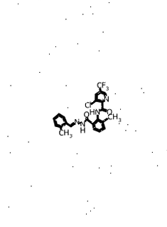 Cc1ccccc1/C=N/NC(=O)c1cccc(C)c1NC(=O)c1ncc(C(F)(F)F)cc1Cl